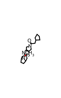 CN1CC2CCC(C1)N2c1nc2c(s1)CN(C(=O)CC1CCCC1)C2